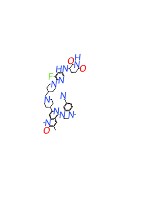 Cc1cc2c(N3CCN(C)c4ccc(C#N)cc43)nc(C3CCN(CC4CCN(c5ncc(NC6CCC(=O)NC6=O)cc5F)CC4)CC3)cc2n(C)c1=O